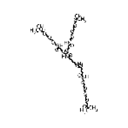 CC(C)OCCOCCOCCOCCNC(=O)CCOCC(COCCC(=O)NCCOCCOCCOCCOC(C)C)NC(=O)CCCCCn1cc(CCCC(=O)NCCOCCOCCOCCOCCC(=O)C(C)C)nn1